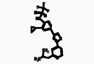 CC(C)Cc1cc(-c2nc(-c3ccc(NS(=O)(=O)C(F)(F)F)c(C4CC4)c3)cs2)ccn1